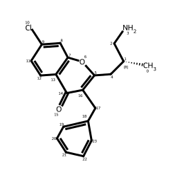 C[C@@H](CN)Cc1oc2cc(Cl)ccc2c(=O)c1Cc1ccccc1